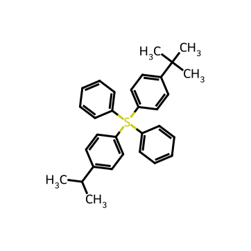 CC(C)c1ccc(S(c2ccccc2)(c2ccccc2)c2ccc(C(C)(C)C)cc2)cc1